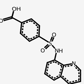 O=C(O)c1ccc(S(=O)(=O)Nc2cccc3cccnc23)cc1